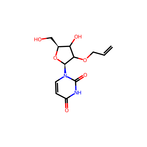 C=CCOC1C(O)[C@H](CO)O[C@@H]1n1ccc(=O)[nH]c1=O